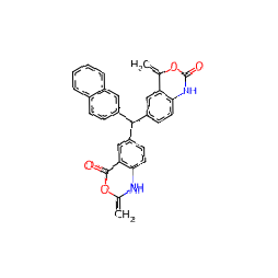 C=C1Nc2ccc(C(c3ccc4c(c3)C(=C)OC(=O)N4)c3ccc4ccccc4c3)cc2C(=O)O1